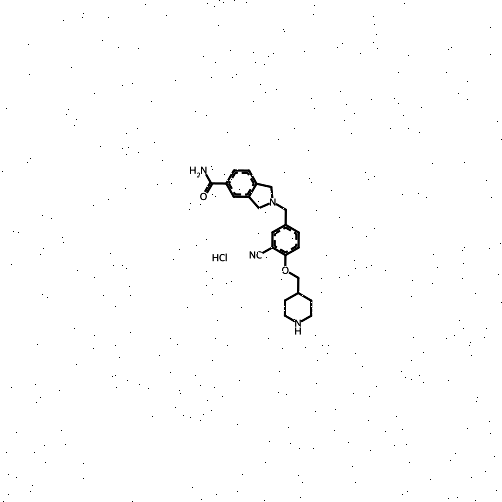 Cl.N#Cc1cc(CN2Cc3ccc(C(N)=O)cc3C2)ccc1OCC1CCNCC1